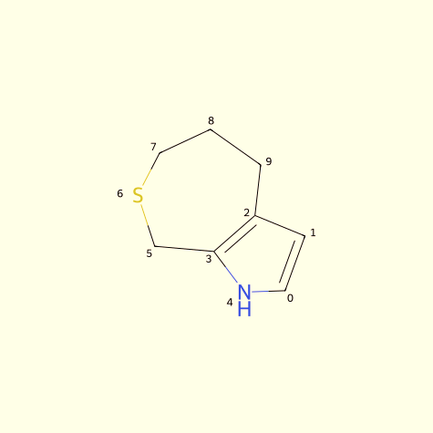 c1cc2c([nH]1)CSCCC2